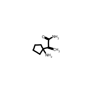 C=C(C(N)=O)C1(N)CCCC1